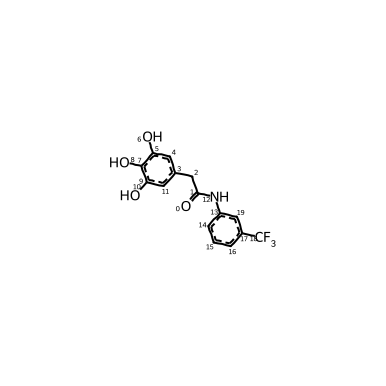 O=C(Cc1cc(O)c(O)c(O)c1)Nc1cccc(C(F)(F)F)c1